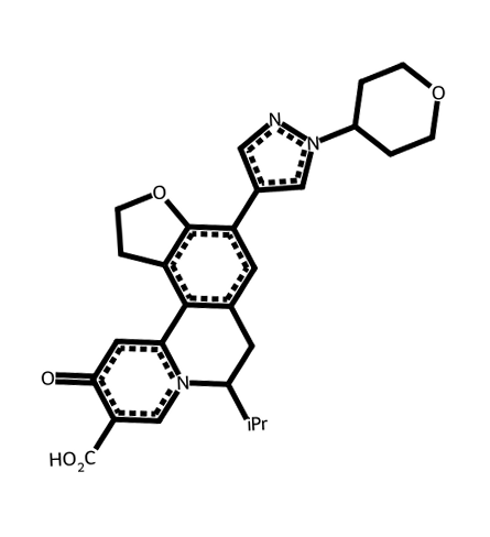 CC(C)C1Cc2cc(-c3cnn(C4CCOCC4)c3)c3c(c2-c2cc(=O)c(C(=O)O)cn21)CCO3